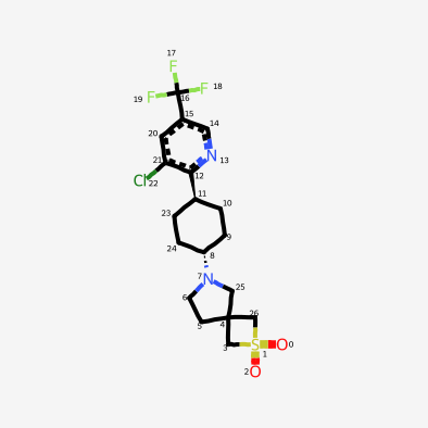 O=S1(=O)CC2(CCN([C@H]3CC[C@H](c4ncc(C(F)(F)F)cc4Cl)CC3)C2)C1